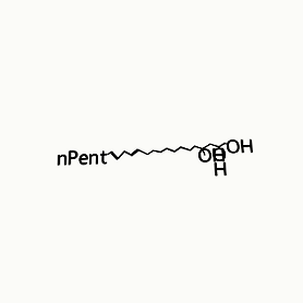 CCCCC/C=C/C/C=C/CCCCCCCCC(O)CC(O)CO